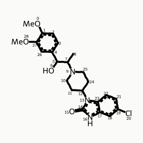 COc1ccc(C(O)C(C)N2CCC(n3c(=O)[nH]c4cc(Cl)ccc43)CC2)cc1OC